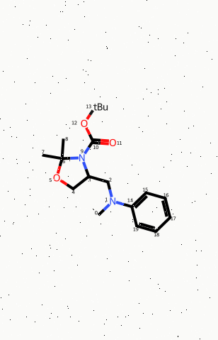 CN(CC1COC(C)(C)N1C(=O)OC(C)(C)C)c1ccccc1